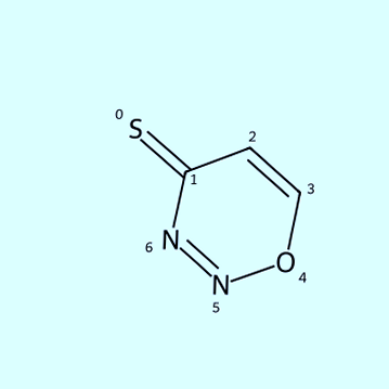 S=c1cconn1